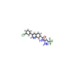 Cn1nc(C(F)(F)F)cc1NC(=O)c1ccc2cc(-c3cccc(Cl)c3)cnc2c1